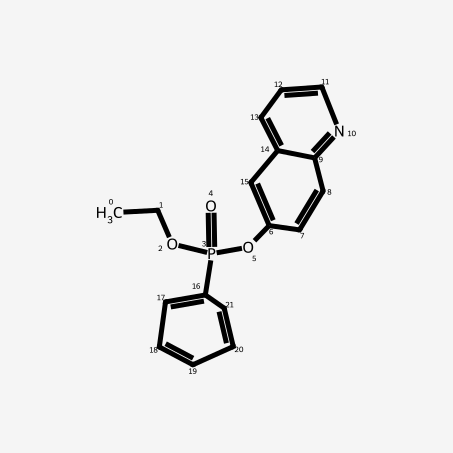 CCOP(=O)(Oc1ccc2ncccc2c1)c1ccccc1